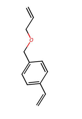 C=CCOCc1ccc(C=C)cc1